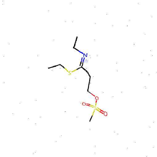 CC/N=C(/CCOS(C)(=O)=O)SCC